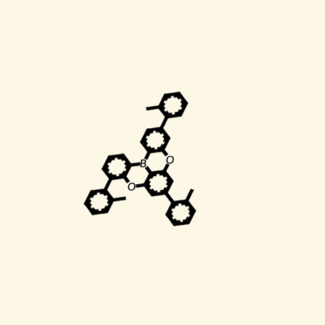 Cc1ccccc1-c1ccc2c(c1)Oc1cc(-c3ccccc3C)cc3c1B2c1cccc(-c2ccccc2C)c1O3